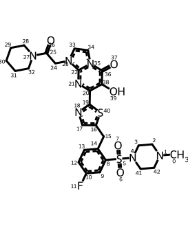 CN1CCN(S(=O)(=O)c2cc(F)ccc2Cc2cnc(-c3nc4n(CC(=O)N5CCCCC5)ccn4c(=O)c3O)s2)CC1